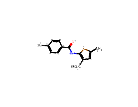 CCOC(=O)c1cc(C)sc1NC(=O)c1ccc(C(C)(C)C)cc1